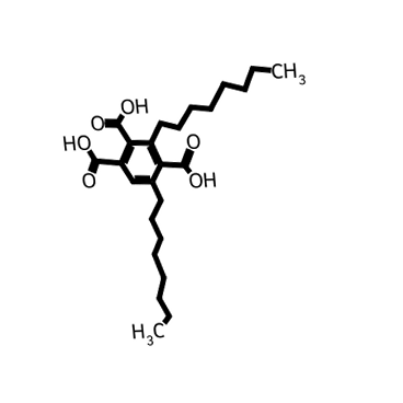 CCCCCCCCc1cc(C(=O)O)c(C(=O)O)c(CCCCCCCC)c1C(=O)O